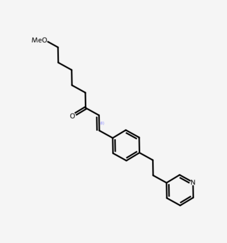 COCCCCCC(=O)/C=C/c1ccc(CCc2cccnc2)cc1